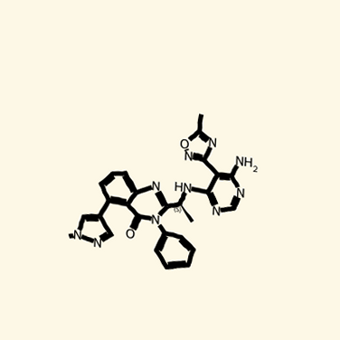 Cc1nc(-c2c(N)ncnc2N[C@@H](C)c2nc3cccc(-c4cnn(C)c4)c3c(=O)n2-c2ccccc2)no1